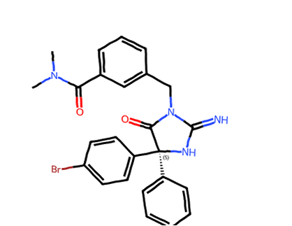 CN(C)C(=O)c1cccc(CN2C(=N)N[C@@](c3ccccc3)(c3ccc(Br)cc3)C2=O)c1